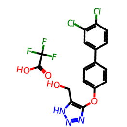 O=C(O)C(F)(F)F.OCc1[nH]nnc1Oc1ccc(-c2ccc(Cl)c(Cl)c2)cc1